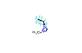 CCN1C=CN(C(F)(F)C(F)C(F)(F)C(F)(F)F)C1